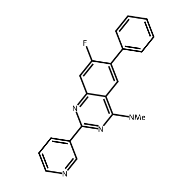 CNc1nc(-c2cccnc2)nc2cc(F)c(-c3ccccc3)cc12